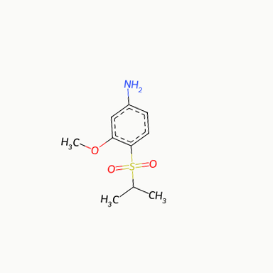 COc1cc(N)ccc1S(=O)(=O)C(C)C